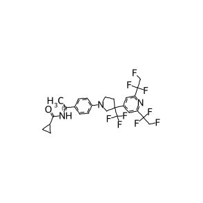 C[C@H](NC(=O)C1CC1)c1ccc(N2CCC(c3cc(C(F)(F)CF)nc(C(F)(F)CF)c3)(C(F)(F)F)C2)cc1